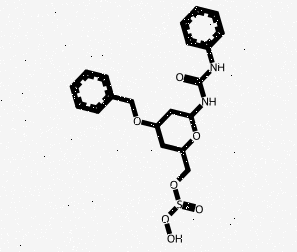 O=C(Nc1ccccc1)NC1CC(OCc2ccccc2)CC(COS(=O)OO)O1